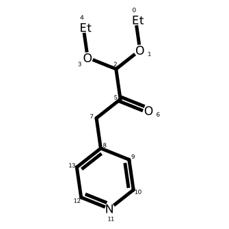 CCOC(OCC)C(=O)Cc1ccncc1